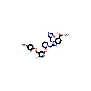 CCn1cncc1Cn1c(CN2CCCCC2Oc2cc(COc3ccc(C#N)cc3F)c(F)cn2)nc2ccc(C(=O)OC)cc21